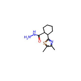 Cc1nc(C2CCCCC2C(=O)NN)sc1C